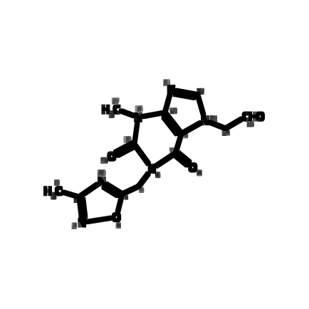 Cc1noc(Cn2c(=O)c3c(ncn3CC=O)n(C)c2=O)n1